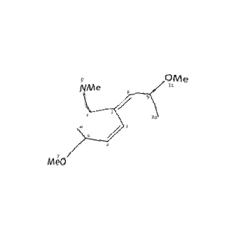 CNCC(/C=C\C(C)OC)=C/C(C)OC